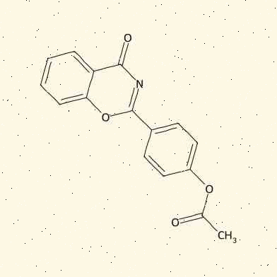 CC(=O)Oc1ccc(-c2nc(=O)c3ccccc3o2)cc1